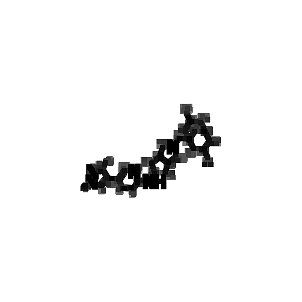 Cc1nn(C)cc1-c1ccc(NC2CC3CN(CC45CC(C)CC(CC(C)C4)C5)CC3C2)nc1